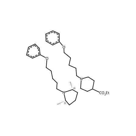 CCOC(=O)C1CCN(CCCCCOc2ccccc2)CC1.C[C@@H]1CCC[C@H](C)N1CCCCCOc1ccccc1